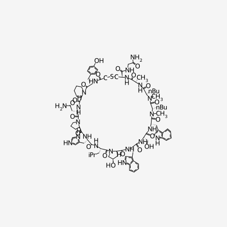 CCCC[C@H]1C(=O)N(C)[C@@H](CCCC)C(=O)N[C@@H](C)C(=O)N[C@H](C(=O)NCC(N)=O)CSCC(=O)N[C@@H](Cc2ccc(O)cc2)C(=O)N2CCCC[C@H]2C(=O)N[C@@H](CC(N)=O)C(=O)N2CCC[C@H]2C(=O)N[C@@H](Cc2c[nH]cn2)C(=O)N[C@@H](CC(C)C)C(=O)N2C[C@H](O)C[C@H]2C(=O)N[C@@H](Cc2c[nH]c3ccccc23)C(=O)N[C@@H](CO)C(=O)N[C@@H](Cc2c[nH]c3ccccc23)C(=O)N1C